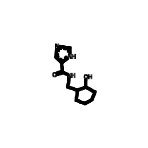 O=C(NCC1CCCCC1O)c1cnc[nH]1